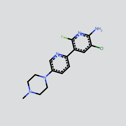 CN1CCN(c2ccc(-c3cc(Cl)c(N)nc3F)nc2)CC1